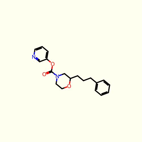 O=C(Oc1cccnc1)N1CCOC(CCCc2ccccc2)C1